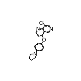 Clc1cncc2c(Oc3ccc(N4CCCC4)cc3)ccnc12